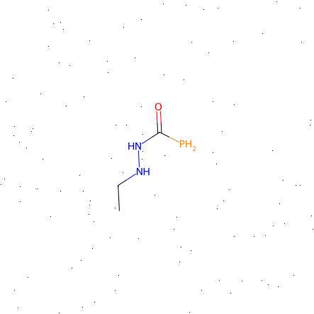 CCNNC(=O)P